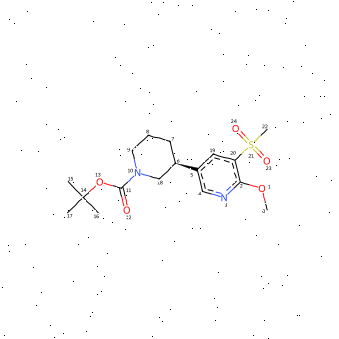 COc1ncc([C@@H]2CCCN(C(=O)OC(C)(C)C)C2)cc1S(C)(=O)=O